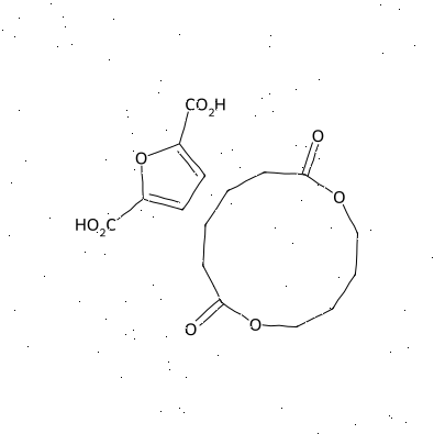 O=C(O)c1ccc(C(=O)O)o1.O=C1CCCCC(=O)OCCCCO1